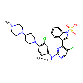 CC.CN1CCN(C2CCN(c3ccc(Nc4ncc(Cl)c(-c5cn(S(=O)(=O)O)c6ccccc56)n4)cc3Cl)CC2)CC1